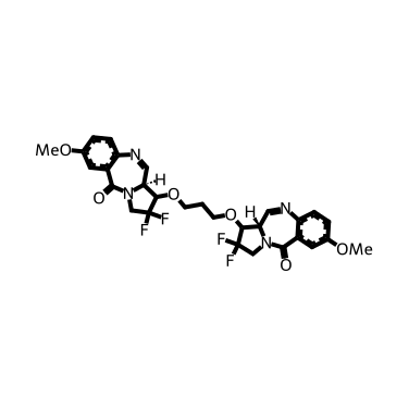 COc1ccc2c(c1)C(=O)N1CC(F)(F)C(OCCCOC3[C@@H]4C=Nc5ccc(OC)cc5C(=O)N4CC3(F)F)[C@@H]1C=N2